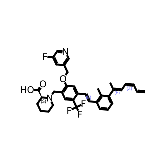 C=C/C=C\C=C(/C)c1cccc(/C=C/c2cc(OCc3cncc(F)c3)c(CN3CCCC[C@H]3C(=O)O)cc2C(F)(F)F)c1C